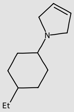 CCC1CCC(N2CC=CC2)CC1